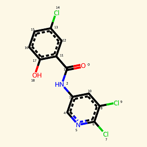 O=C(Nc1cnc(Cl)c(Cl)c1)c1cc(Cl)ccc1O